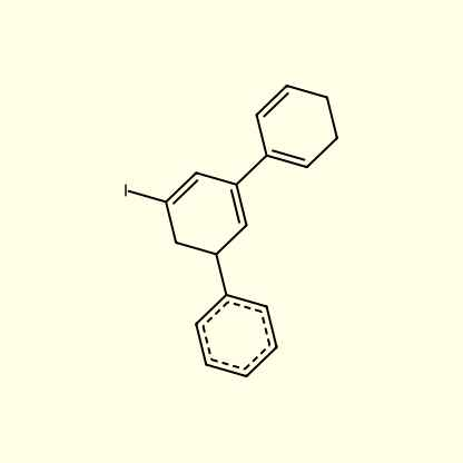 IC1=CC(C2=CCCC=C2)=CC(c2ccccc2)C1